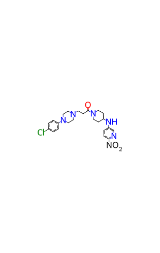 O=C(CCN1CCN(c2ccc(Cl)cc2)CC1)N1CCC(Nc2ccc([N+](=O)[O-])nc2)CC1